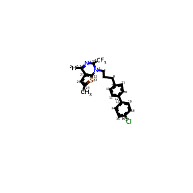 [2H]C1=NC(C(F)(F)F)N(CCCc2ccc(-c3ccc(Cl)cc3)cc2)c2sc(C)cc21